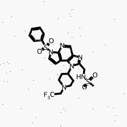 CS(=O)(=O)NCc1nc2cnc3c(ccn3S(=O)(=O)c3ccccc3)c2n1C1CCN(CC(F)(F)F)CC1